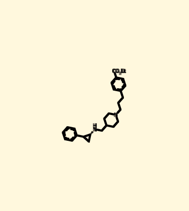 CCOC(=O)c1ccc(CCCN2CCC(CN[C@@H]3CC3c3ccccc3)CC2)cc1